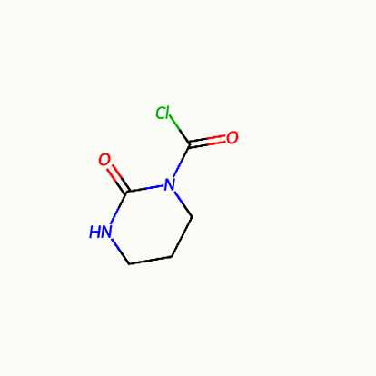 O=C(Cl)N1CCCNC1=O